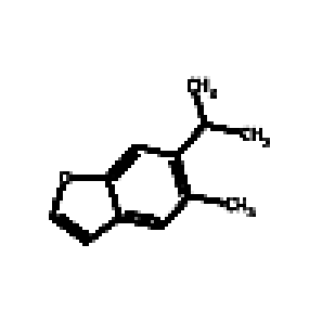 Cc1cc2ccoc2cc1C(C)C